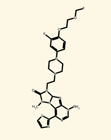 CN1C(=O)N(CCN2CCN(c3ccc(OCCOCF)c(F)c3)CC2)C2N=C3C(=C(c4nccs4)N=CN3N)N21